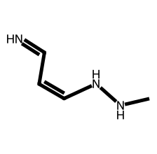 CNN/C=C\C=N